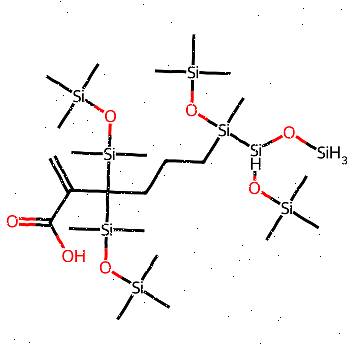 C=C(C(=O)O)C(CCC[Si](C)(O[Si](C)(C)C)[SiH](O[SiH3])O[Si](C)(C)C)([Si](C)(C)O[Si](C)(C)C)[Si](C)(C)O[Si](C)(C)C